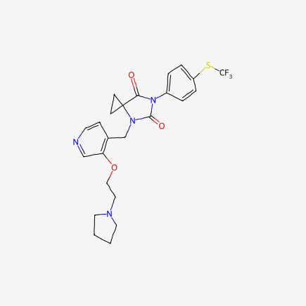 O=C1N(c2ccc(SC(F)(F)F)cc2)C(=O)C2(CC2)N1Cc1ccncc1OCCN1CCCC1